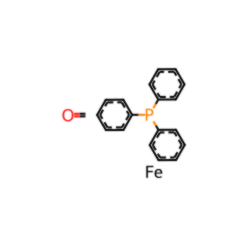 C=O.[Fe].c1ccc(P(c2ccccc2)c2ccccc2)cc1